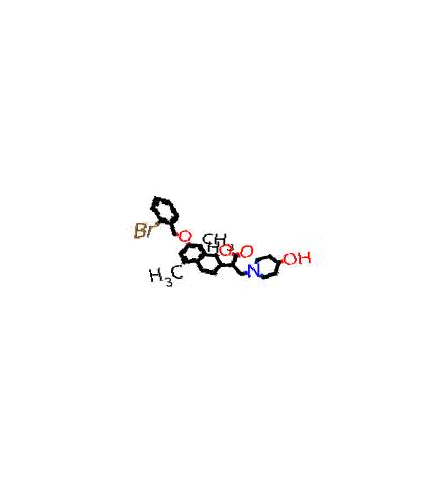 Cc1cc(OCc2ccccc2Br)c(C)c2c1CCC1C(CN3CCC(O)CC3)C(=O)O[C@@H]21